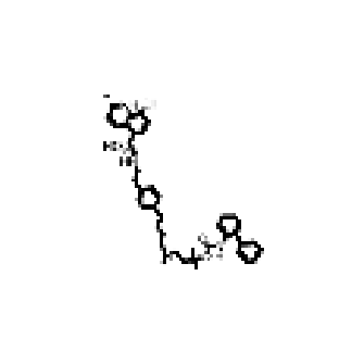 CN(CCCCc1ccc(CCNC[C@H](O)c2ccc(O)c3[nH]c(=O)ccc23)cc1)CCC(C)(C)OC(=O)Nc1ccccc1-c1ccccc1